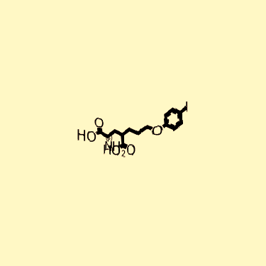 N[C@@H](CC(CCCOc1ccc(I)cc1)C(=O)O)C(=O)O